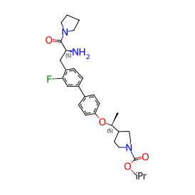 CC(C)OC(=O)N1CCC([C@H](C)Oc2ccc(-c3ccc(C[C@H](N)C(=O)N4CCCC4)c(F)c3)cc2)CC1